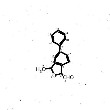 CC1OC(C=O)c2ccc(-c3ccccc3)cc21